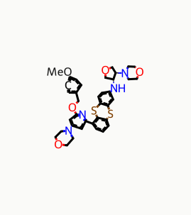 COc1ccc(COc2cc(N3CCOCC3)cc(-c3cccc4c3Sc3ccc(N[C@@H]5COC[C@H]5N5CCOCC5)cc3S4)n2)cc1